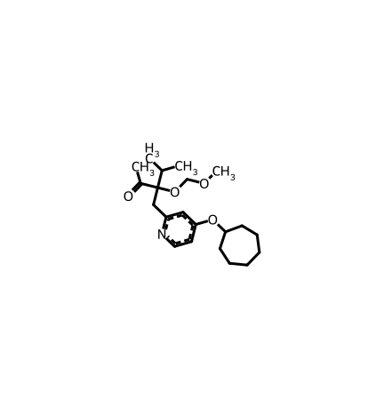 COCOC(Cc1cc(OC2CCCCCC2)ccn1)(C(C)=O)C(C)C